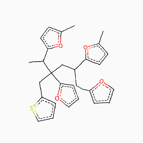 C[C](c1ccc(C)o1)C(Cc1cccs1)(CC(Cc1ccco1)c1ccc(C)o1)c1ccco1